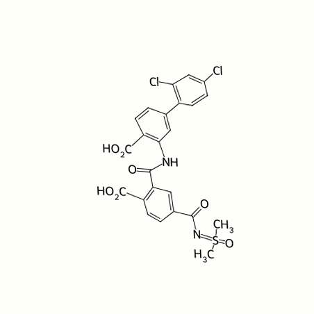 CS(C)(=O)=NC(=O)c1ccc(C(=O)O)c(C(=O)Nc2cc(-c3ccc(Cl)cc3Cl)ccc2C(=O)O)c1